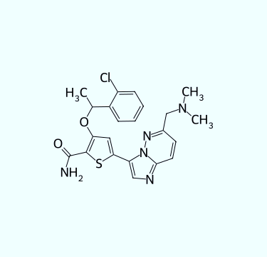 CC(Oc1cc(-c2cnc3ccc(CN(C)C)nn23)sc1C(N)=O)c1ccccc1Cl